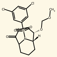 COCO[C@H]1CNC(=O)C2CCC[C@@H]1N2S(=O)(=O)c1cc(Cl)cc(Cl)c1